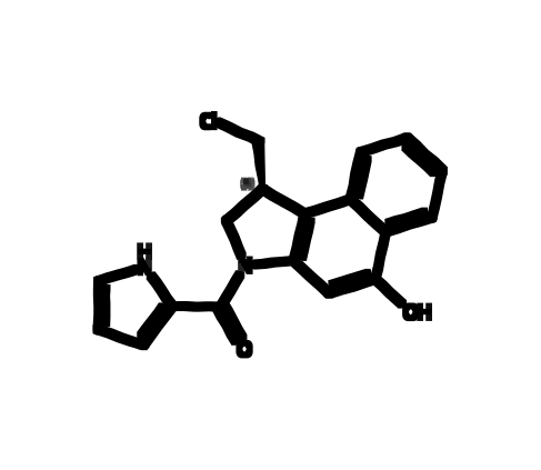 O=C(c1ccc[nH]1)N1C[C@@H](CCl)c2c1cc(O)c1ccccc21